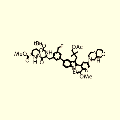 CCn1c(-c2cc(N3CCN4CCOC[C@@H]4C3)cnc2[C@H](C)OC)c(CC(C)(C)COC(C)=O)c2cc(-c3cc(CF)cc(C[C@H](NC(=O)OC(C)(C)C)C(=O)N4CCC[C@@H](C(=O)OC)N4)c3)ccc21